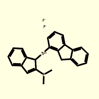 CP(C)C1=Cc2ccccc2[CH]1[Ti+2][c]1cccc2c1Cc1ccccc1-2.[F-].[F-]